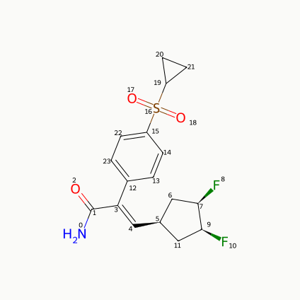 NC(=O)/C(=C/[C@H]1C[C@@H](F)[C@@H](F)C1)c1ccc(S(=O)(=O)C2CC2)cc1